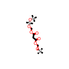 C[Si](C)(C)OCOC(=O)CC(=O)OCO[Si](C)(C)O[Si](C)(C)C